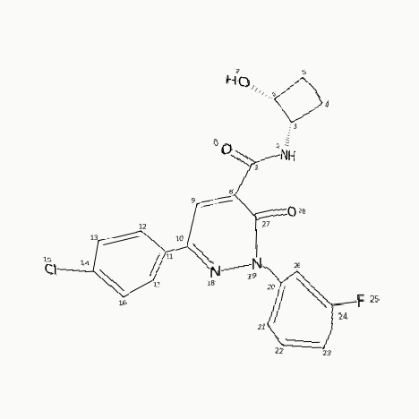 O=C(N[C@H]1CC[C@H]1O)c1cc(-c2ccc(Cl)cc2)nn(-c2cccc(F)c2)c1=O